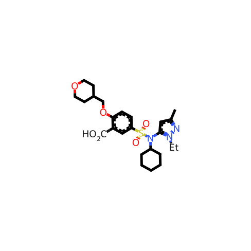 CCn1nc(C)cc1N(C1CCCCC1)S(=O)(=O)c1ccc(OCC2CCOCC2)c(C(=O)O)c1